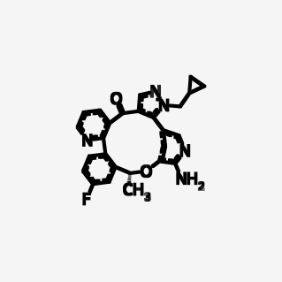 C[C@H]1Oc2cc(cnc2N)-c2c(cnn2CC2CC2)C(=O)c2cccnc2-c2ccc(F)cc21